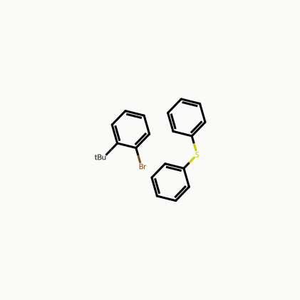 CC(C)(C)c1ccccc1Br.c1ccc(Sc2ccccc2)cc1